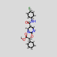 COC(=O)[C@@H](Oc1ncc(C(=O)Nc2ccc(F)cc2)cn1)c1ccccc1